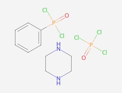 C1CNCCN1.O=P(Cl)(Cl)Cl.O=P(Cl)(Cl)c1ccccc1